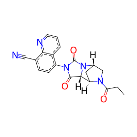 CCC(=O)N1C[C@@H]2C[C@@H]1[C@@H]1C(=O)N(c3ccc(C#N)c4ncccc34)C(=O)N21